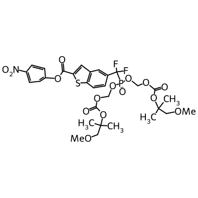 COCC(C)(C)OC(=O)OCOP(=O)(OCOC(=O)OC(C)(C)COC)C(F)(F)c1ccc2sc(C(=O)Oc3ccc([N+](=O)[O-])cc3)cc2c1